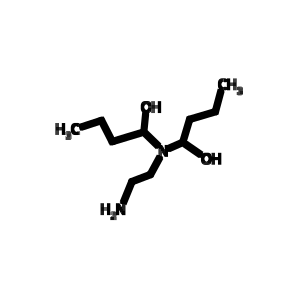 CCCC(O)N(CCN)C(O)CCC